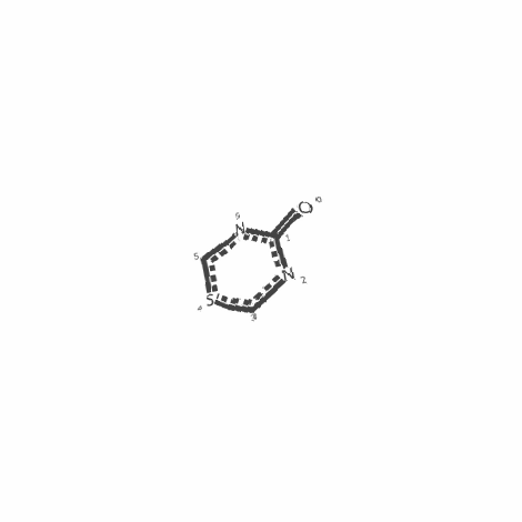 O=c1ncscn1